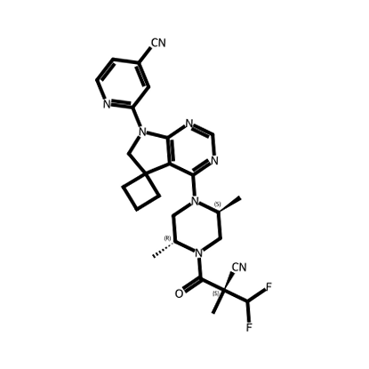 C[C@@H]1CN(c2ncnc3c2C2(CCC2)CN3c2cc(C#N)ccn2)[C@@H](C)CN1C(=O)[C@](C)(C#N)C(F)F